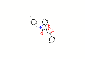 Cc1ccc(CN2C(=O)C(O)(CC(=O)c3ccccc3)c3ccccc32)cc1